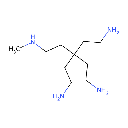 CNCCC(CCN)(CCN)CCN